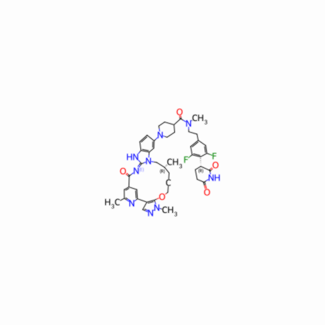 Cc1cc2cc(n1)-c1cnn(C)c1OCCC[C@@H](C)CN1/C(=N/C2=O)Nc2ccc(N3CCC(C(=O)N(C)CCc4cc(F)c([C@H]5CCC(=O)NC5=O)c(F)c4)CC3)cc21